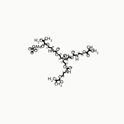 C=C(C)C(=O)OCCNC(=O)OCC[N+](C)(CCOC(=O)NCCOC(=O)C(=C)C)CCOC(=O)NCCOC(=O)C(=C)C.COS(=O)(=O)[O-]